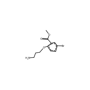 COC(=O)c1cc(Br)ccc1OCCCN